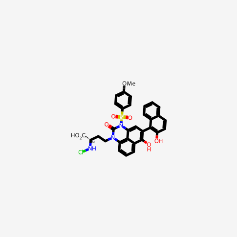 COc1ccc(S(=O)(=O)N2C(=O)N(CC[C@H](NCl)C(=O)O)c3cccc4c(O)c(-c5c(O)ccc6ccccc56)cc2c34)cc1